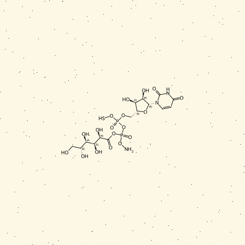 NOP(=O)(OC(=O)[C@H](O)[C@@H](O)[C@H](O)[C@H](O)CO)OP(=O)(OS)OC[C@H]1O[C@@H](n2ccc(=O)[nH]c2=O)[C@H](O)[C@@H]1O